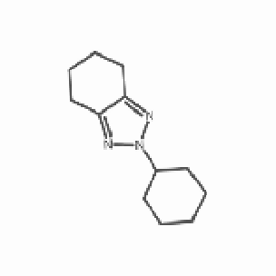 C1CCC(n2nc3c(n2)CCCC3)CC1